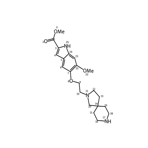 COC(=O)c1cc2cc(OCCN3CCC4(CCNCC4)C3)c(OC)cc2[nH]1